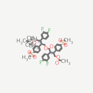 CC(=O)OC/C(=C(/C(=O)OC/C(=C(/CO[Si](C)(C)C(C)(C)C)c1ccc(F)c(F)c1)c1ccc(S(C)(=O)=O)cc1)c1ccc(F)c(F)c1)c1ccc(S(C)(=O)=O)cc1